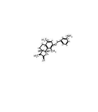 C=C1C(=O)O[C@H]2c3c(C)c(OCc4cccc(N)c4)cc(C)c3CC[C@@H]12